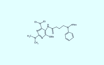 CCCCCCN(CCCC(=O)Nc1c(SC)nc(N(C)C)nc1N(CC)CC)c1ccccc1